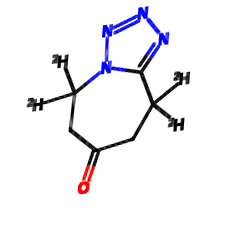 [2H]C1([2H])CC(=O)CC([2H])([2H])n2nnnc21